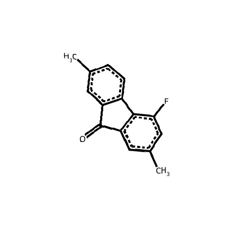 Cc1ccc2c(c1)C(=O)c1cc(C)cc(F)c1-2